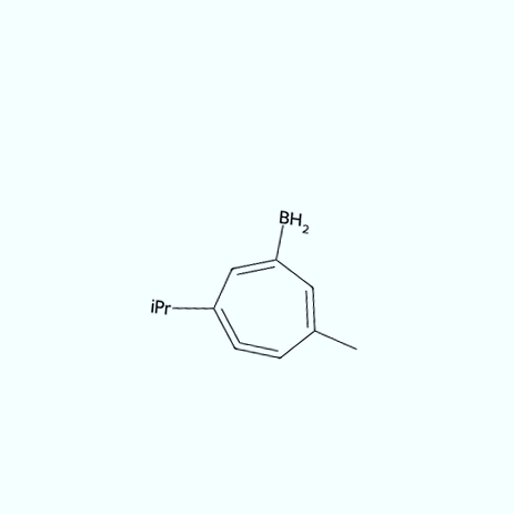 BC1=CC(C(C)C)=C=CC(C)=C1